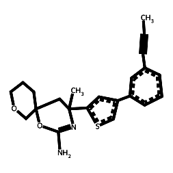 CC#Cc1cccc(-c2csc(C3(C)CC4(CCCOC4)OC(N)=N3)c2)c1